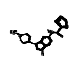 CN1CC=C(c2c[nH]c3ccc(NC(=O)c4ccco4)cc23)CC1